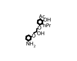 CCCc1c(OCC(O)COc2cccc(N)c2)ccc(C(C)=O)c1O